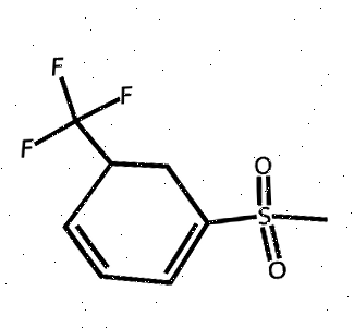 CS(=O)(=O)C1=CC=CC(C(F)(F)F)C1